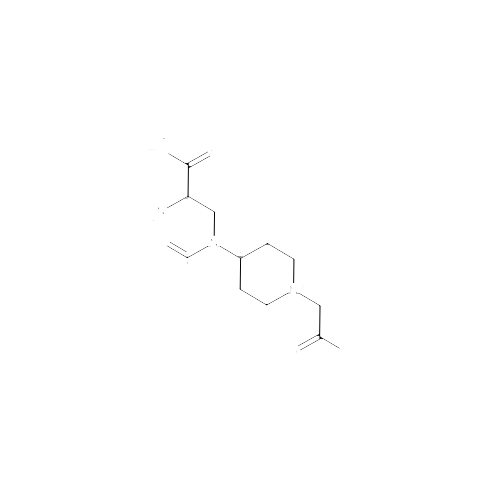 NC(CN(C=O)C1CCN(CC(=O)O)CC1)C(=O)O